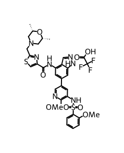 COc1ccccc1S(=O)(=O)Nc1cc(-c2cc(NC(=O)c3csc(CN4C[C@@H](C)O[C@@H](C)C4)n3)c3cn[nH]c3c2)cnc1OC.O=C(O)C(F)(F)F